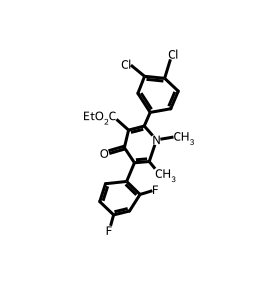 CCOC(=O)c1c(-c2ccc(Cl)c(Cl)c2)n(C)c(C)c(-c2ccc(F)cc2F)c1=O